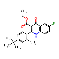 CCOC(=O)c1c(-c2ccc(C(C)(C)C)cc2C)[nH]c2ccc(F)cc2c1=O